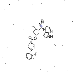 C=N/N=C(/C1CC(OC(=O)N2CCN(c3ccccc3F)CC2)CC1CC)N1CC=Nc2[nH]ccc21